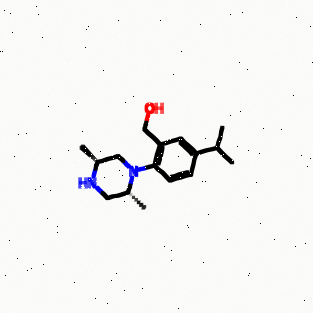 CC(C)c1ccc(N2C[C@H](C)NC[C@H]2C)c(CO)c1